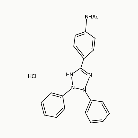 CC(=O)Nc1ccc(C2=NN(c3ccccc3)N(c3ccccc3)N2)cc1.Cl